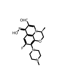 C[C@H]1COc2c(N3CCN(C)CC3)c(F)cc3/c(=N\O)c(C=O)cn1c23